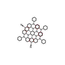 N#Cc1ccc(-c2c(N3c4ccccc4N(c4ccccc4)c4ccccc43)c(-c3ccc(C#N)cc3)c(N3c4ccccc4N(c4ccccc4)c4ccccc43)c(N3c4ccccc4N(c4ccccc4)c4ccccc43)c2N2c3ccccc3N(c3ccccc3)c3ccccc32)cc1